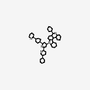 c1ccc(-c2ccc(-c3cc(-n4c5ccccc5c5c6c(ccc54)c(-c4ccccc4)nc4ccccc46)cc(-c4ccc(-c5ccccn5)cc4)n3)nc2)cc1